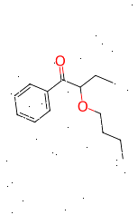 CCCCOC(CC)C(=O)c1ccccc1